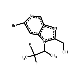 CC(n1c(CO)nc2cnc(Br)cc21)C(C)(F)F